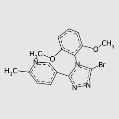 COc1cccc(OC)c1-n1c(Br)nnc1-c1ccc(C)nc1